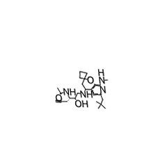 C#CC[C@H](NC(C)=O)[C@H](O)CN[C@H]1CC2(CCC2)Oc2c1cc(CC(C)(C)C)nc2NC